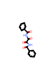 O=C(NC(=O)c1ccccc1)C(=O)NC(=O)c1ccccc1